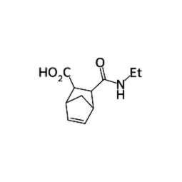 CCNC(=O)C1C2C=CC(C2)C1C(=O)O